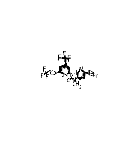 CN(C(=O)Nc1cc(C(F)(F)F)cc(OCC(F)(F)F)n1)c1ccc(Br)nc1